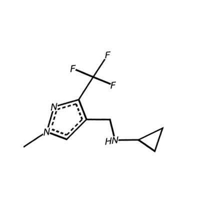 Cn1cc(CNC2CC2)c(C(F)(F)F)n1